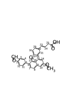 COc1ccc(-c2ccc3cc(OC)ccc3c2Oc2ccc(C=CCC(=O)O)cc2)cc1